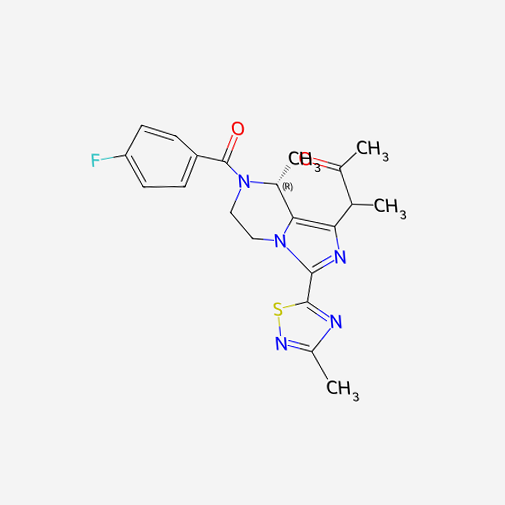 CC(=O)C(C)c1nc(-c2nc(C)ns2)n2c1[C@@H](C)N(C(=O)c1ccc(F)cc1)CC2